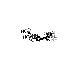 NC1=NC2NC=C(CCc3ccc(C(=O)N[C@@H](CCC(=O)O)C(=O)O)cc3)C2C(=O)N1